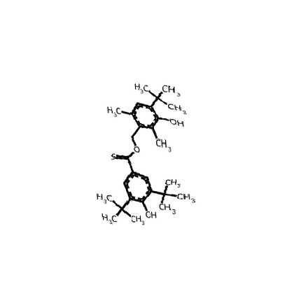 Cc1cc(C(C)(C)C)c(O)c(C)c1COC(=S)c1cc(C(C)(C)C)c(O)c(C(C)(C)C)c1